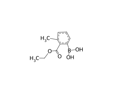 CCOC(=O)c1c(C)cccc1B(O)O